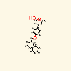 CCC[C@@H](CC(=O)O)c1ccc(OCC2CCCC3(CCCCC3)C2)cc1